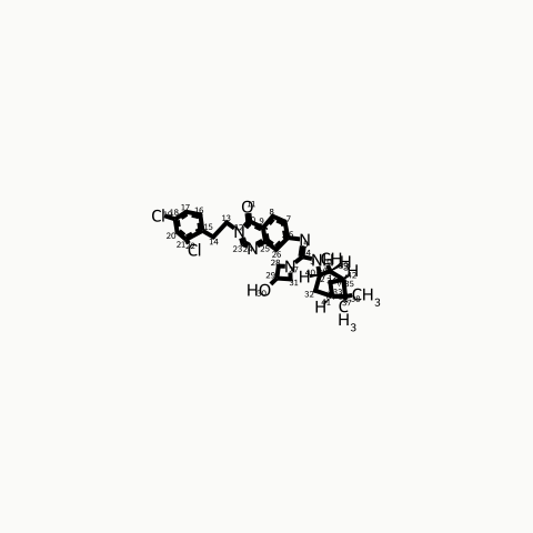 C[C@H]1[C@@H](NC(=Nc2ccc3c(=O)n(CCc4ccc(Cl)cc4Cl)cnc3c2)N2CC(O)C2)C[C@H]2C[C@H]1C2(C)C